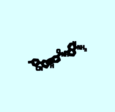 Cc1ccc(-c2ccc3c(c2)C2c4cc(C(=O)NCc5cccc6c(N)nccc56)ccc4[C@H]32)c(C#N)c1